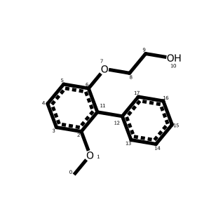 COc1c[c]cc(OCCO)c1-c1ccccc1